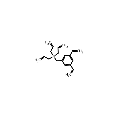 C=CC[N+](CC=C)(CC=C)Cc1cc(C=C)cc(C=C)c1